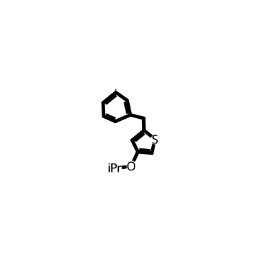 CC(C)Oc1csc(Cc2c[c]ccc2)c1